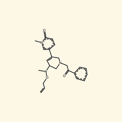 C=CCON(C)C1C=C(c2ccc(=O)n(C)c2)CN(CC(=O)c2ccccc2)C1